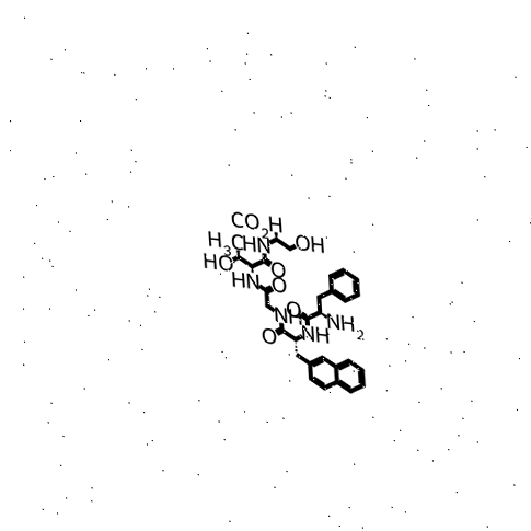 C[C@H](O)[C@@H](NC(=O)CNC(=O)[C@@H](Cc1ccc2ccccc2c1)NC(=O)[C@H](N)Cc1ccccc1)C(=O)N[C@H](CO)C(=O)O